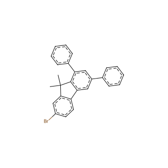 CC1(C)c2cc(Br)ccc2-c2cc(-c3ccccc3)cc(-c3ccccc3)c21